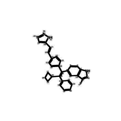 Fc1n[nH]c2ccc(C(=C(c3ccccc3)C3CCC3)c3ccc(C=Cc4cnn[nH]4)cc3)cc12